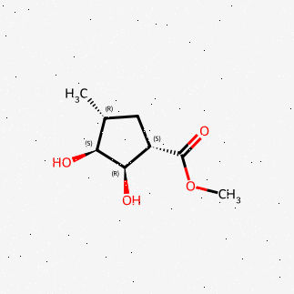 COC(=O)[C@H]1C[C@@H](C)[C@H](O)[C@@H]1O